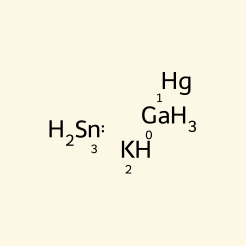 [GaH3].[Hg].[KH].[SnH2]